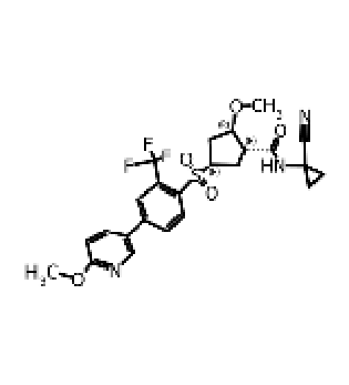 COc1ccc(-c2ccc(S(=O)(=O)[C@H]3C[C@@H](OC)[C@H](C(=O)NC4(C#N)CC4)C3)c(C(F)(F)F)c2)cn1